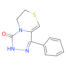 O=C1NN=C(c2ccccc2)C2=CSCCN12